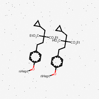 CCCCCCCOc1ccc(CCC(CC2CC2)(C(=O)O)C(=O)OCC)cc1.CCCCCCCOc1ccc(CCC(CC2CC2)(C(=O)OCC)C(=O)OCC)cc1